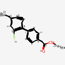 CCCCCCOC(=O)c1ccc(-c2ccc(CCCC)cc2F)cc1